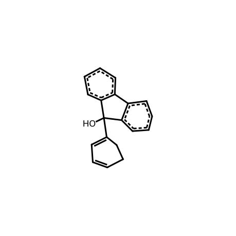 OC1(C2=CC=CCC2)c2ccccc2-c2ccccc21